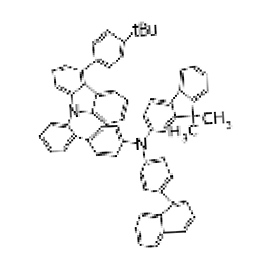 CC(C)(C)c1ccc(-c2cccc3c2c2ccccc2n3-c2ccccc2-c2ccc(N(c3ccc(-c4cccc5ccccc45)cc3)c3ccc4c(c3)C(C)(C)c3ccccc3-4)cc2)cc1